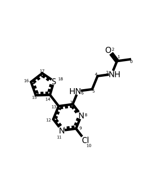 CC(=O)NCCNc1nc(Cl)ncc1-c1cccs1